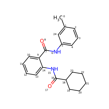 Cc1cccc(NC(=O)c2ccccc2NC(=O)C2CCCCC2)c1